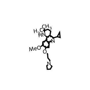 COc1cc2c3c(c(C4CC4)nc2cc1OCCCN1CCCC1)CCC(C)(C)N3